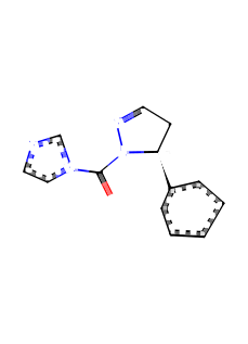 O=C(N1N=CC[C@H]1c1ccccc1)n1ccnc1